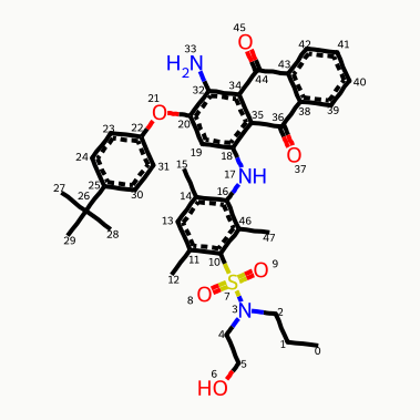 CCCN(CCO)S(=O)(=O)c1c(C)cc(C)c(Nc2cc(Oc3ccc(C(C)(C)C)cc3)c(N)c3c2C(=O)c2ccccc2C3=O)c1C